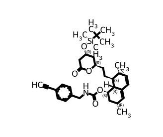 C#Cc1ccc(CNC(=O)O[C@H]2C[C@@H](C)C=C3C=C[C@@H](C)[C@H](CC[C@@H]4C[C@@H](O[Si](C)(C)C(C)(C)C)CC(=O)O4)[C@H]32)cc1